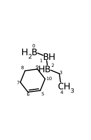 BBBCC.C1=CCCCC1